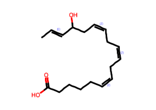 C/C=C/C(O)C/C=C\C/C=C\C/C=C\CCCCC(=O)O